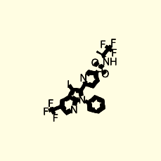 C[C@H](NS(=O)(=O)c1ccc(-c2c(I)c3cc(C(F)(F)F)cnc3n2-c2ccccc2)nc1)C(F)(F)F